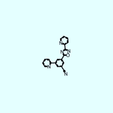 N#Cc1cc(-c2ccccn2)cc(-c2nc(-c3ccccn3)no2)c1